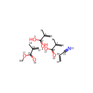 C=C(C)C(=O)O.C=C(C)C(=O)O.C=C(C)C(=O)OC.C=CC#N